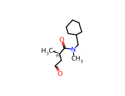 C[C@H](CC=O)C(=O)N(C)CC1CCCCC1